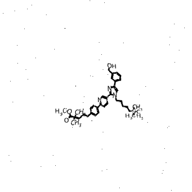 COC(=O)C(C)(C)CCCc1ccc(-c2ccc(-c3nc(-c4cccc(CO)c4)cn3CCCCC[Si](C)(C)C)cn2)cc1